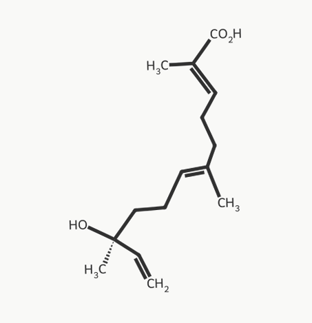 C=C[C@@](C)(O)CCC=C(C)CCC=C(C)C(=O)O